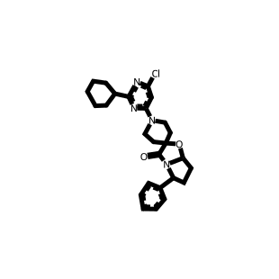 O=C1N2C(CCC2c2ccccc2)OC12CCN(c1cc(Cl)nc(C3CCCCC3)n1)CC2